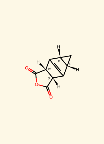 O=C1OC(=O)[C@H]2C3C=CC([C@@H]12)[C@@H]1C[C@H]31